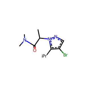 CC(C)c1c(Br)cnn1C(C)C(=O)N(C)C